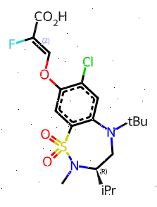 CC(C)[C@@H]1CN(C(C)(C)C)c2cc(Cl)c(O/C=C(\F)C(=O)O)cc2S(=O)(=O)N1C